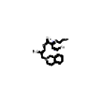 C=C(NCC(C)CN1CCc2ccccc2C1)C(/C=C\C(C)(C)C)=N/CNC